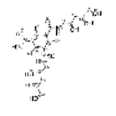 CC(=O)N(C)c1c(I)c(C(=O)NCC(O)CC(O)CO)c(I)c(C(=O)NCC(O)CC(O)CO)c1I